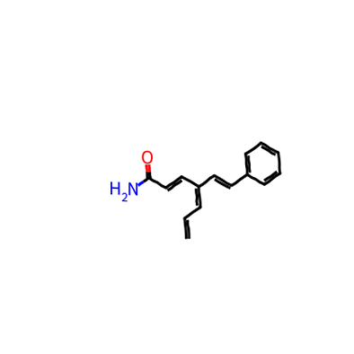 C=CC=C(C=CC(N)=O)C=Cc1ccccc1